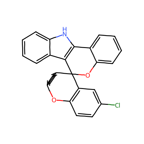 Clc1ccc2c(c1)C1(Oc3ccccc3-c3[nH]c4ccccc4c31)c1ccccc1O2